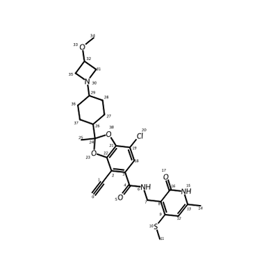 C#Cc1c(C(=O)NCc2c(SC)cc(C)[nH]c2=O)cc(Cl)c2c1OC(C)(C1CCC(N3CC(OC)C3)CC1)O2